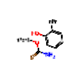 CCCCCOC(N)=S.CCCc1ccccc1O